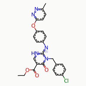 CCOC(=O)c1c[nH]/c(=N\c2ccc(Oc3ccc(C)nn3)cc2)n(Cc2ccc(Cl)cc2)c1=O